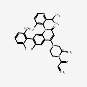 C=CC(=O)N1CCN(c2cc(=O)n(-c3c(C)ccnc3C(C)C)c3cc(-c4c(O)cccc4F)c(F)cc23)C[C@H]1C